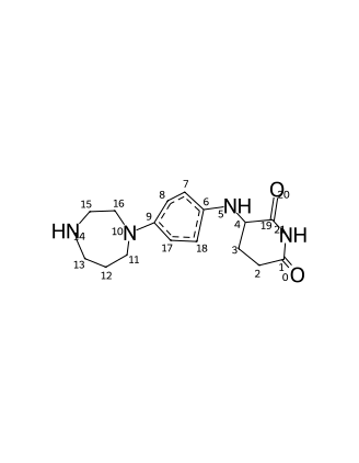 O=C1CCC(Nc2ccc(N3CCCNCC3)cc2)C(=O)N1